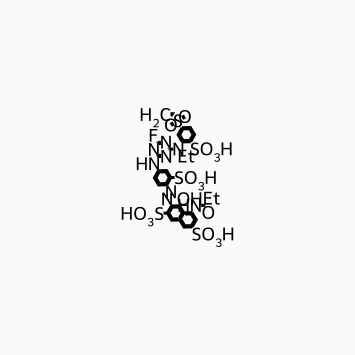 C=CS(=O)(=O)c1ccc(S(=O)(=O)O)c(N(CC)c2nc(F)nc(Nc3ccc(/N=N/c4c(S(=O)(=O)O)cc5cc(S(=O)(=O)O)cc(NC(=O)CC)c5c4O)c(S(=O)(=O)O)c3)n2)c1